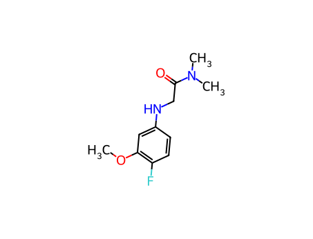 COc1cc(NCC(=O)N(C)C)ccc1F